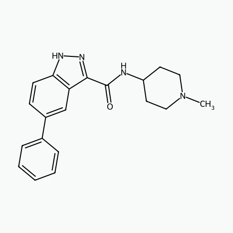 CN1CCC(NC(=O)c2n[nH]c3ccc(-c4ccccc4)cc23)CC1